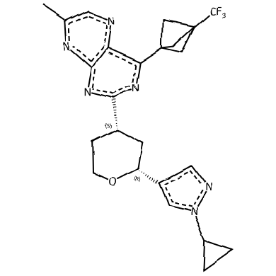 Cc1cnc2c(C34CC(C(F)(F)F)(C3)C4)nc([C@H]3CCO[C@@H](c4cnn(C5CC5)c4)C3)nc2n1